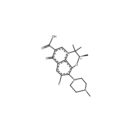 C[C@H]1Oc2c(N3CCN(C)CC3)c(F)cc3c(=O)c(C(=O)O)cn(c23)C1(C)C